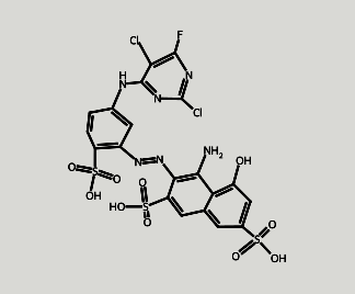 Nc1c(N=Nc2cc(Nc3nc(Cl)nc(F)c3Cl)ccc2S(=O)(=O)O)c(S(=O)(=O)O)cc2cc(S(=O)(=O)O)cc(O)c12